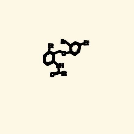 CCC(=O)Nc1cccc(CC)c1COc1ccc(CC)cc1Br